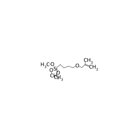 C=C(C)COCCCC[Si](OC)(OC)OC